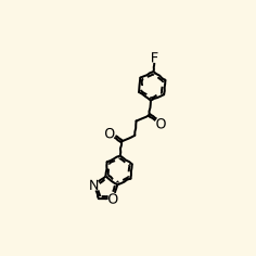 O=C(CCC(=O)c1ccc2ocnc2c1)c1ccc(F)cc1